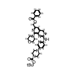 CC(C)(C)OC(=O)N1CCN(c2ccc(Nc3ncc4cc(COC(=O)c5ccccc5)nc(N5CCOCC5)c4n3)nc2)CC1